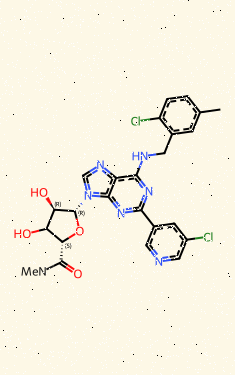 CNC(=O)[C@H]1O[C@@H](n2cnc3c(NCc4cc(C)ccc4Cl)nc(-c4cncc(Cl)c4)nc32)[C@H](O)C1O